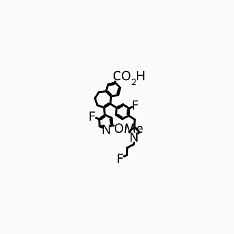 COc1cc(C2=C(c3ccc(CC4CN(CCCF)C4)c(F)c3)c3ccc(C(=O)O)cc3CCC2)c(F)cn1